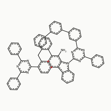 Nc1c(-c2ccccc2Cc2ccccc2-c2nc(-c3ccccc3)nc(-c3ccccc3)n2)ccc2c3ccccc3n(-c3nc(-c4ccccc4)nc(-c4cccc(-c5cccc(-c6ccccc6)c5)c4)n3)c12